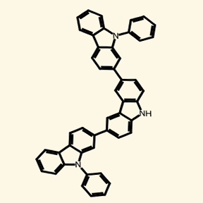 c1ccc(-n2c3ccccc3c3ccc(-c4ccc5[nH]c6ccc(-c7ccc8c9ccccc9n(-c9ccccc9)c8c7)cc6c5c4)cc32)cc1